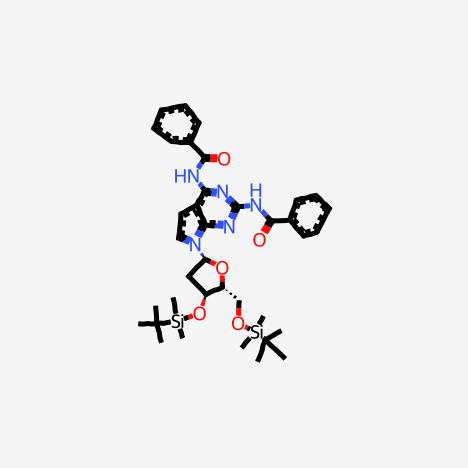 CC(C)(C)[Si](C)(C)OC[C@H]1O[C@@H](n2ccc3c(NC(=O)c4ccccc4)nc(NC(=O)c4ccccc4)nc32)C[C@@H]1O[Si](C)(C)C(C)(C)C